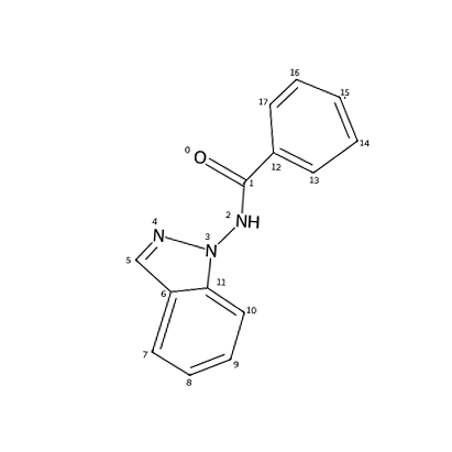 O=C(Nn1ncc2ccccc21)c1cc[c]cc1